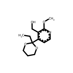 CCC1(c2ccnc(OC)c2CO)OCCCO1